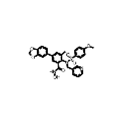 COc1ccc(S(=O)(=O)N(Cc2cccnc2)c2c(C)cc(-c3ccc4c(c3)OCO4)cc2C(=O)NO)cc1